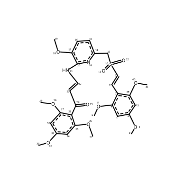 COc1cc(OC)c(/C=C/S(=O)(=O)Cc2ccc(OC)c(N/C=C/C(=O)c3c(OC)cc(OC)cc3OC)n2)c(OC)c1